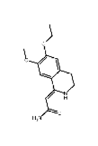 CCOc1cc2c(cc1OC)/C(=C/C(N)=O)NCC2